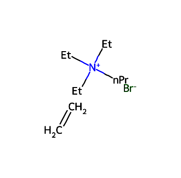 C=C.CCC[N+](CC)(CC)CC.[Br-]